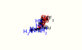 CC[C@H](C)[C@H](NC(=O)[C@H](N)CCCNC(=N)N)C(=O)N[C@@H](C)C(=O)N[C@@H](CO)C(=O)OC(=O)C(F)(F)F